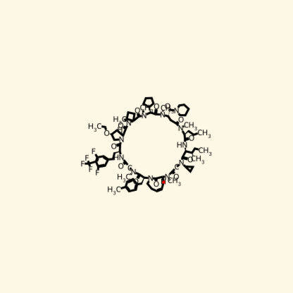 CCC[C@H]1C(=O)N[C@@H]([C@@H](C)CC)C(=O)N(C2CC2)CC(=O)N(C)[C@H]2C/C=C\CCN(C2=O)[C@@H](Cc2ccc(C)cc2)C(=O)N(C)CC(=O)N[C@@H](CCc2cc(F)c(C(F)(F)F)c(F)c2)C(=O)N2C[C@H](OCC)C[C@H]2C(=O)N(C)C2(CCC2)C(=O)N(C)[C@@H](C2CCCC2)C(=O)N(C)[C@H](C(=O)N2CCCCC2)CC(=O)N1C